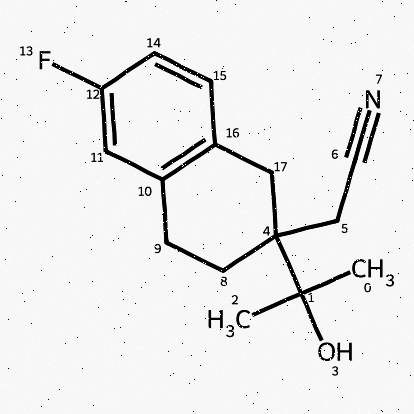 CC(C)(O)C1(CC#N)CCc2cc(F)ccc2C1